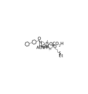 CCSCCCO[C@]1(C(=O)O)C[C@H](C)[C@@H](NC(C)=O)C([C@H](C)C(O)CNC(=O)c2ccc(-c3ccccc3)cc2)O1